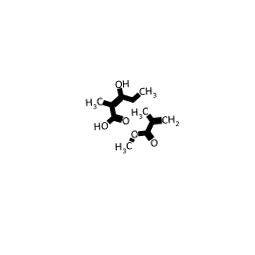 C=C(C)C(=O)OC.CC/C(O)=C(/C)C(=O)O